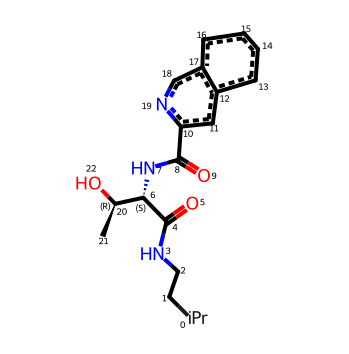 CC(C)CCNC(=O)[C@@H](NC(=O)c1cc2ccccc2cn1)[C@@H](C)O